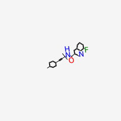 Cc1ccc(C#CC(C)(C)NC(=O)c2cnc3c(F)cccc3c2)cc1